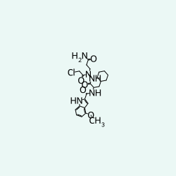 COc1cccc2[nH]c(C(=O)NC(CC3CCCCC3)C(=O)NN(CCC(N)=O)C(=O)CCl)cc12